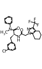 CN(C(=O)[C@H](Cc1cccc(Cl)c1)NC(=O)Cn1nc(C(F)(F)F)c2c1CCCC2)c1ccccc1